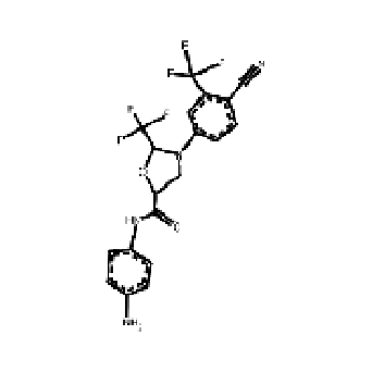 N#Cc1ccc(N2CC(C(=O)Nc3ccc(N)cc3)OC2C(F)(F)F)cc1C(F)(F)F